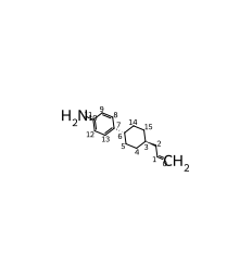 C=CC[C@H]1CC[C@H](c2ccc(N)cc2)CC1